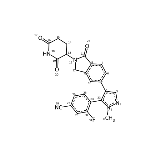 Cn1ncc(-c2ccc3c(c2)CN(C2CCC(=O)NC2=O)C3=O)c1-c1ccc(C#N)cc1F